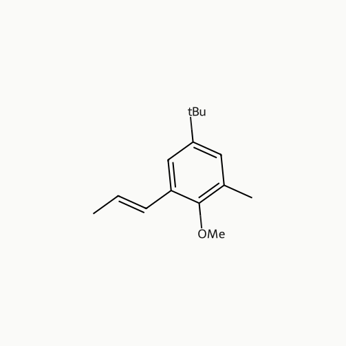 CC=Cc1cc(C(C)(C)C)cc(C)c1OC